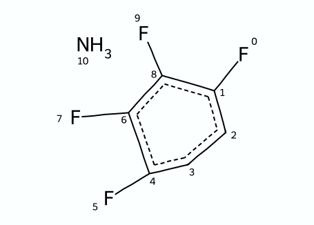 Fc1ccc(F)c(F)c1F.N